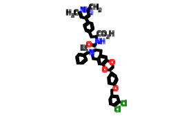 C=C/C=C(\C=C(\C)N)c1ccc(C[C@H](NC(=O)[C@@H]2Cc3cc4c(cc3CN2[C@@H](CC)c2ccccc2)O[C@@H](c2ccc(OCc3ccc(Cl)c(Cl)c3)cc2)CO4)C(=O)O)cc1